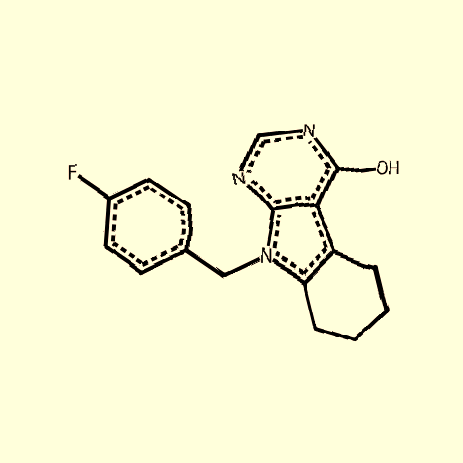 Oc1ncnc2c1c1c(n2Cc2ccc(F)cc2)CCCC1